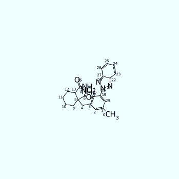 Cc1cc(CC2(C(N)=O)CCCCC2C(N)=O)c(O)c(-n2nc3ccccc3n2)c1